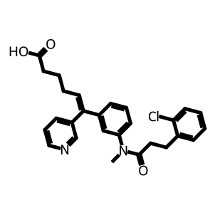 CN(C(=O)CCc1ccccc1Cl)c1cccc(/C(=C/CCCC(=O)O)c2cccnc2)c1